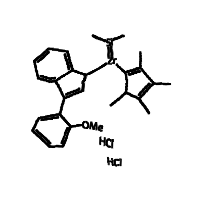 COc1ccccc1C1=C[CH]([Zr]([C]2=C(C)C(C)=C(C)C2C)=[Si](C)C)c2ccccc21.Cl.Cl